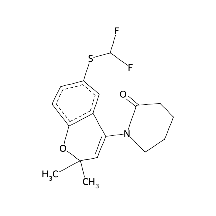 CC1(C)C=C(N2CCCCC2=O)c2cc(SC(F)F)ccc2O1